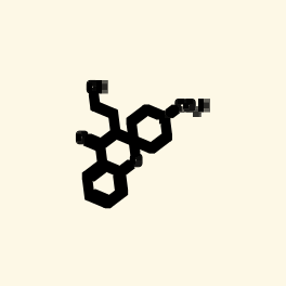 O=C1c2ccccc2OC2(CCN(C(=O)O)CC2)C1CCO